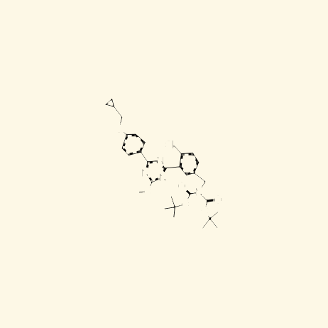 COc1nc(-c2ccc(OCC3CC3)cc2)nc(-c2cc(CN(C(=O)OC(C)(C)C)C(=O)OC(C)(C)C)ccc2Cl)n1